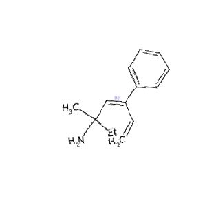 C=C/C(=C\C(C)(N)CC)c1ccccc1